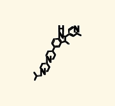 Cc1cc(-c2[nH]c3ccc(C4CCN(C5CCN(CC(C)C)CC5)CC4)cc3c2C)ccn1